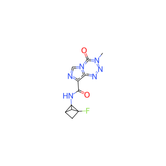 Cn1nnc2c(C(=O)NC3C4CC3(F)C4)ncn2c1=O